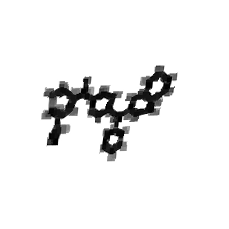 CN(c1ccc(N(c2ccccc2)c2ccc3ccccc3c2)cc1)c1cccc(C#N)c1